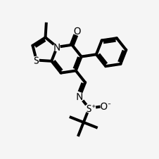 Cc1csc2cc(C=N[S+]([O-])C(C)(C)C)c(-c3ccccc3)c(=O)n12